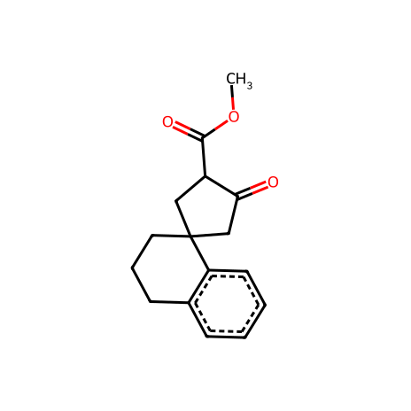 COC(=O)C1CC2(CCCc3ccccc32)CC1=O